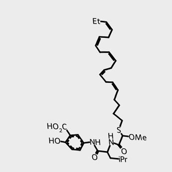 CC/C=C\C/C=C\C/C=C\C/C=C\C/C=C\CCCCSC(OC)C(=O)NC(CC(C)C)C(=O)Nc1ccc(O)c(C(=O)O)c1